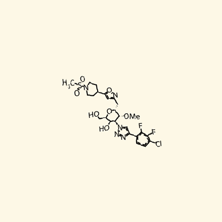 CO[C@@H]1[C@@H](n2cc(-c3ccc(Cl)c(F)c3F)nn2)[C@@H](O)[C@@H](CO)O[C@@H]1Cc1cc(C2CCN(S(C)(=O)=O)CC2)on1